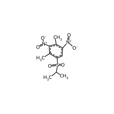 Cc1c([N+](=O)[O-])cc(S(=O)(=O)C(C)C)c(C)c1[N+](=O)[O-]